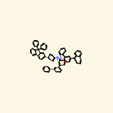 c1ccc(-c2cccc(-c3cccc(N(c4ccc(-c5ccc6c(c5)C(c5ccccc5)(c5ccccc5)c5ccccc5-6)cc4)c4ccccc4-c4cccc(-c5cccc6ccccc56)c4)c3)c2)cc1